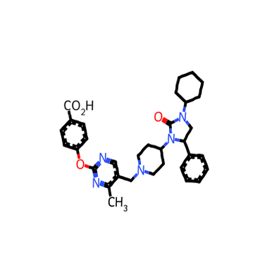 Cc1nc(Oc2ccc(C(=O)O)cc2)ncc1CN1CCC(N2C(=O)N(C3CCCCC3)CC2c2ccccc2)CC1